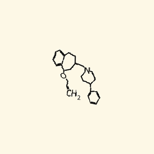 C=CCOC1CC(CN2CCC(c3ccccc3)CC2)CCc2ccccc21